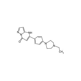 CCN1CCN(c2ccc(-c3cc(=O)n4nccc4[nH]3)cc2)CC1